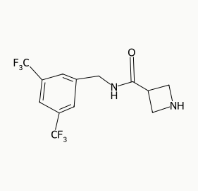 O=C(NCc1cc(C(F)(F)F)cc(C(F)(F)F)c1)C1CNC1